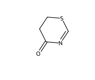 O=C1CCSC=N1